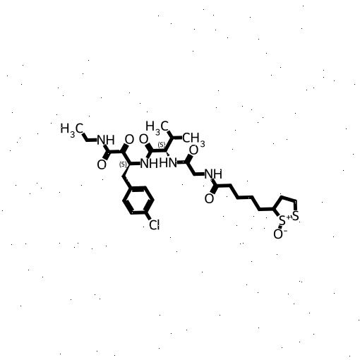 CCNC(=O)C(=O)[C@H](Cc1ccc(Cl)cc1)NC(=O)[C@@H](NC(=O)CNC(=O)CCCCC1CCS[S+]1[O-])C(C)C